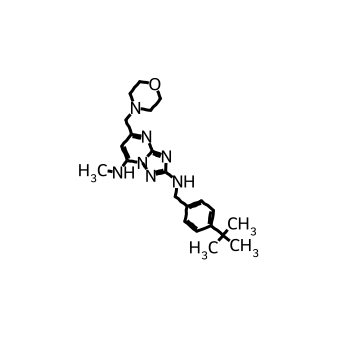 CNc1cc(CN2CCOCC2)nc2nc(NCc3ccc(C(C)(C)C)cc3)nn12